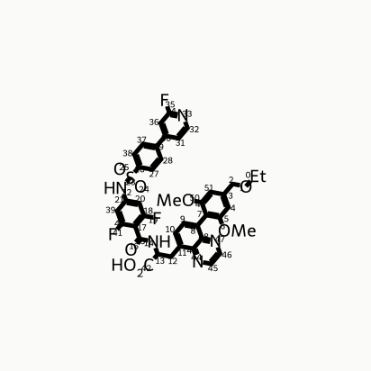 CCOCc1cc(OC)c(-c2ccc(CC(NC(=O)c3c(F)cc(NS(=O)(=O)c4ccc(-c5ccnc(F)c5)cc4)cc3F)C(=O)O)c3nccnc23)c(OC)c1